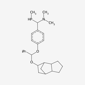 CPC(c1ccc(OC(OC2CC3CC2C2CCCC32)C(C)C)cc1)N(C)C